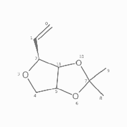 C=C[C@@H]1OCC2OC(C)(C)OC21